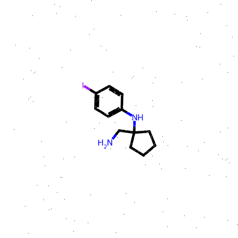 NCC1(Nc2ccc(I)cc2)CCCC1